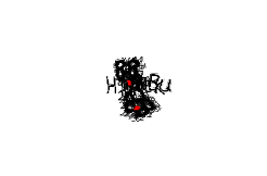 CCCCCCc1ccc2ccccc2c1-c1c([C@@H](P)C2c3ccc4ccccc4c3-c3c(ccc4ccccc34)CP2SCCCC)ccc2ccccc12